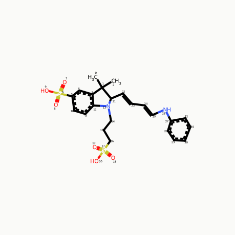 CC1(C)c2cc(S(=O)(=O)O)ccc2N(CCCS(=O)(=O)O)C1C=CC=CNc1ccccc1